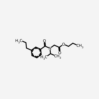 CCCOC(=O)CN(C(=O)c1cccc(CCC)c1)C(C)C